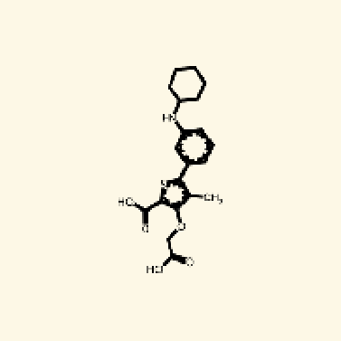 Cc1c(-c2cccc(NC3CCCCC3)c2)sc(C(=O)O)c1OCC(=O)O